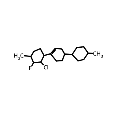 CC1CCC(C2CC=C(C3CCC(C)C(F)C3Cl)CC2)CC1